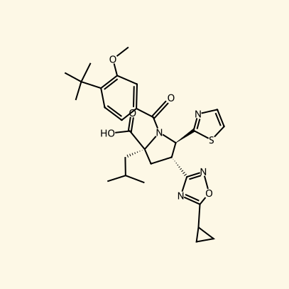 COc1cc(C(=O)N2[C@@H](c3nccs3)[C@H](c3noc(C4CC4)n3)C[C@@]2(CC(C)C)C(=O)O)ccc1C(C)(C)C